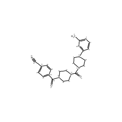 Cc1nccc(N2CCN(C(=O)N3CCN(C(=O)c4ccc(C#N)cc4)CC3)CC2)n1